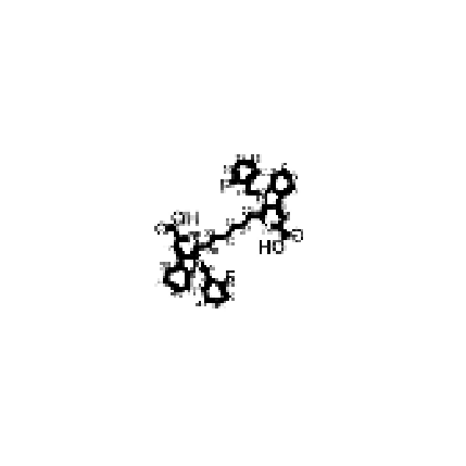 O=C(O)c1cc2c3ccccc3n(Cc3ccccc3F)c2c(CCCCCCc2nc(C(=O)O)cc3c4ccccc4n(Cc4ccccc4F)c23)n1